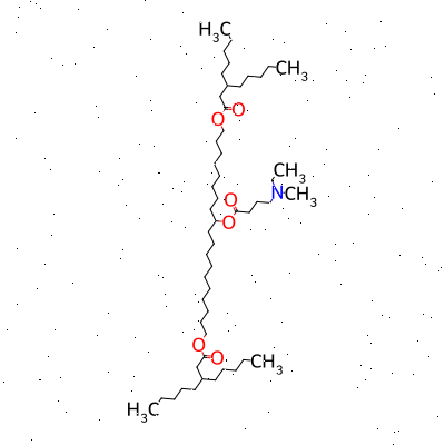 CCCCCC(CCCCC)CC(=O)OCCCCCCCCCCC(CCCCCCCCOC(=O)CC(CCCCC)CCCCC)OC(=O)CCCN(C)CC